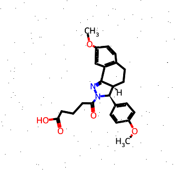 COc1ccc([C@@H]2[C@@H]3CCc4ccc(OC)cc4C3=NN2C(=O)CCCC(=O)O)cc1